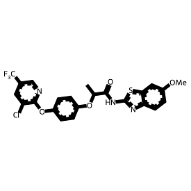 COc1ccc2nc(NC(=O)C(C)Oc3ccc(Oc4ncc(C(F)(F)F)cc4Cl)cc3)sc2c1